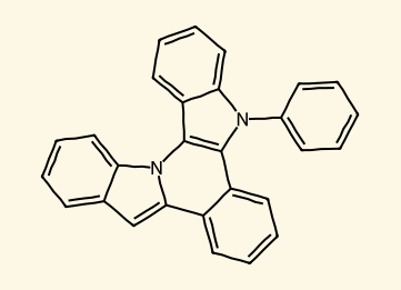 c1ccc(-n2c3ccccc3c3c2c2ccccc2c2cc4ccccc4n23)cc1